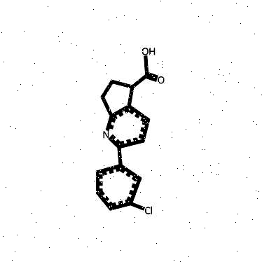 O=C(O)C1CCc2nc(-c3cccc(Cl)c3)ccc21